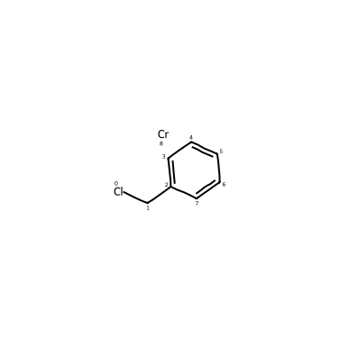 ClCc1ccccc1.[Cr]